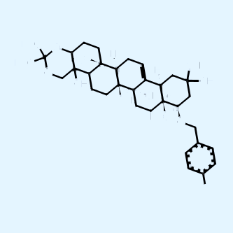 CC1(C)C[C@@H]2C3=CC[C@@H]4[C@@]5(C)CCC6OC(C)(C)OCC6(C)C5CC[C@@]4(C)[C@]3(C)CC[C@@]2(C)[C@H](OCc2ccc(I)cc2)C1